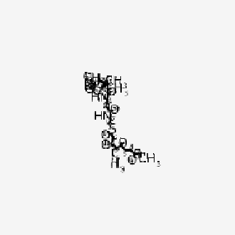 COC(=O)CCC(=O)C(C)C(=O)CC(=O)SCCNC(=O)CCNC(=O)[C@@H]1OP(=O)(OC)OCC1(C)C